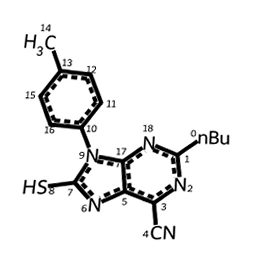 CCCCc1nc(C#N)c2nc(S)n(-c3ccc(C)cc3)c2n1